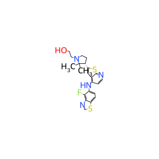 CC1(C)[C@@H](c2cc3c(Nc4ccc5scnc5c4F)ccnc3s2)CCN1CCO